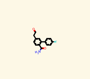 NC(=O)c1ccc(CC=O)cc1-c1ccc(F)cc1